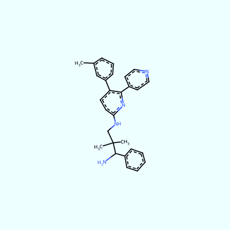 Cc1cccc(-c2ccc(NCC(C)(C)C(N)c3ccccc3)nc2-c2ccncc2)c1